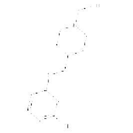 O=CCN1CCC(COc2ccnc(Cl)n2)CC1